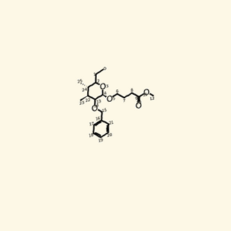 CCC1O[C@@H](OCCCC(=O)OC)C(OCc2ccccc2)[C@@H](C)[C@@H]1C